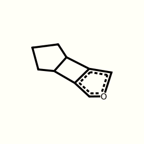 c1occ2c1C1CCCC21